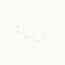 CC1(C)CN(C(=O)N2CCCN(C(C)(C)C)CC2)C1